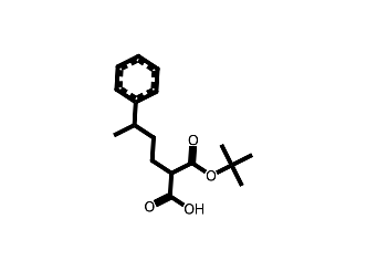 CC(CCC(C(=O)O)C(=O)OC(C)(C)C)c1ccccc1